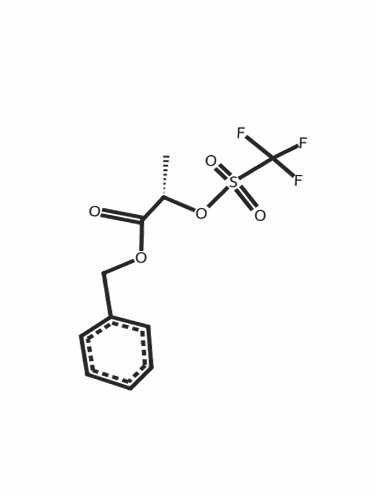 C[C@H](OS(=O)(=O)C(F)(F)F)C(=O)OCc1ccccc1